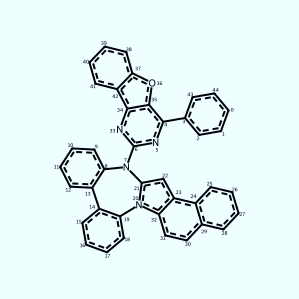 c1ccc(-c2nc(N3c4ccccc4-c4ccccc4-n4c3cc3c5ccccc5ccc34)nc3c2oc2ccccc23)cc1